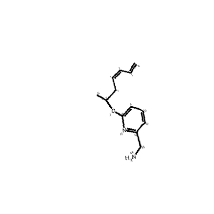 C=C/C=C\CC(C)Oc1cccc(CN)n1